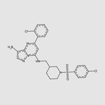 Bc1cnn2c(NCC3CCCN(S(=O)(=O)c4ccc(Cl)cc4)C3)cc(-c3ccccc3Cl)nc12